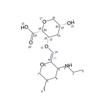 CCNC1CC(I)CO/C1=C\O[C@H]1C[C@@H](O)CO[C@H]1C(=O)O